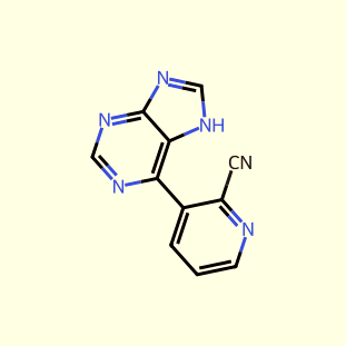 N#Cc1ncccc1-c1ncnc2nc[nH]c12